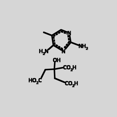 Cc1cnc(N)nc1N.O=C(O)CC(O)(CC(=O)O)C(=O)O